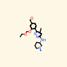 CCOCOc1cc(C=O)ccc1-c1nnc(N[C@@H]2CCCN(C)C2)cc1C